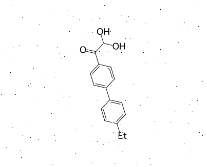 CCc1ccc(-c2ccc(C(=O)C(O)O)cc2)cc1